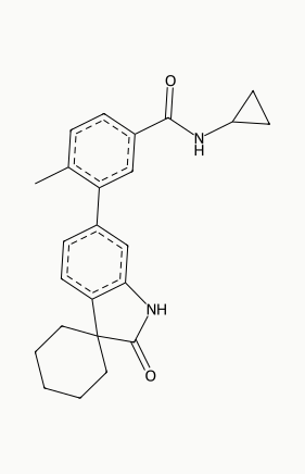 Cc1ccc(C(=O)NC2CC2)cc1-c1ccc2c(c1)NC(=O)C21CCCCC1